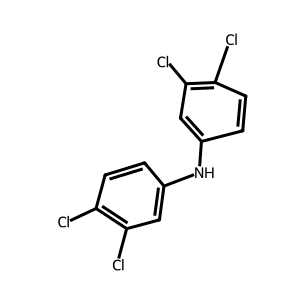 Clc1ccc(Nc2ccc(Cl)c(Cl)c2)cc1Cl